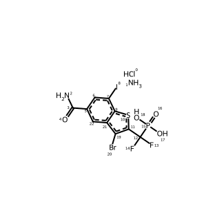 Cl.N.NC(=O)c1cc(I)c2sc(C(F)(F)P(=O)(O)O)c(Br)c2c1